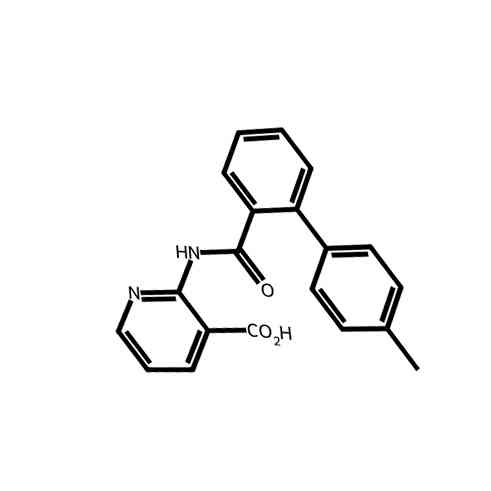 Cc1ccc(-c2ccccc2C(=O)Nc2ncccc2C(=O)O)cc1